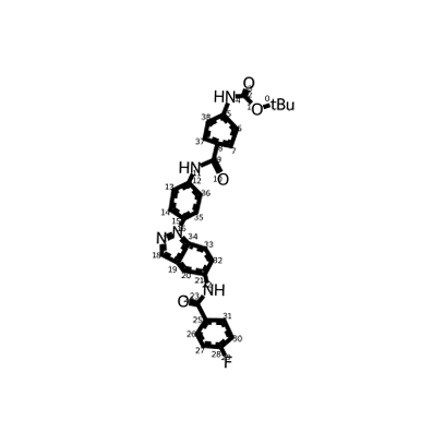 CC(C)(C)OC(=O)Nc1ccc(C(=O)Nc2ccc(-n3ncc4cc(NC(=O)c5ccc(F)cc5)ccc43)cc2)cc1